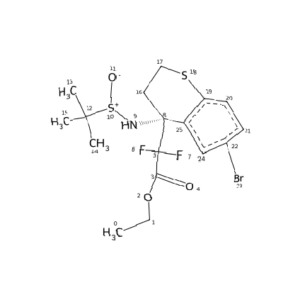 CCOC(=O)C(F)(F)[C@@]1(N[S+]([O-])C(C)(C)C)CCSc2ccc(Br)cc21